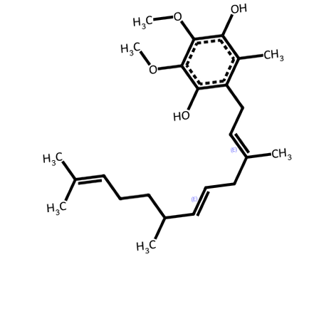 COc1c(O)c(C)c(C/C=C(\C)C/C=C/C(C)CCC=C(C)C)c(O)c1OC